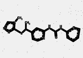 CC(Sc1nncn1C)c1ccnc(NC(=O)Nc2ccccn2)c1